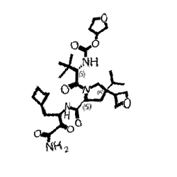 CC(C)[C@@]1(C2COC2)C[C@@H](C(=O)NC(CC2CCC2)C(=O)C(N)=O)N(C(=O)[C@@H](NC(=O)OC2CCOC2)C(C)(C)C)C1